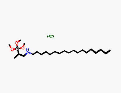 CCCCCCCCCCCCCCCCCCNCC(C)[Si](OC)(OC)OC.Cl